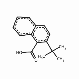 CC(C)(C)c1ccc2ccccc2c1C(=O)O